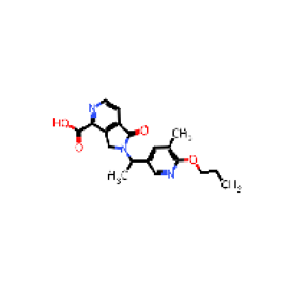 CCCOc1ncc(C(C)N2Cc3c(ccnc3C(=O)O)C2=O)cc1C